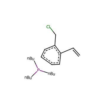 C=Cc1ccccc1CCl.CCCCP(CCCC)CCCC